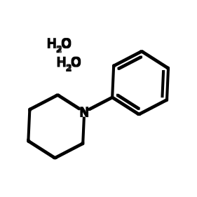 O.O.c1ccc(N2CCCCC2)cc1